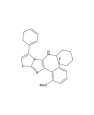 COc1cccc(F)c1-c1nc2scc(C3=CC=CCC3)n2c1NC1CCCCC1